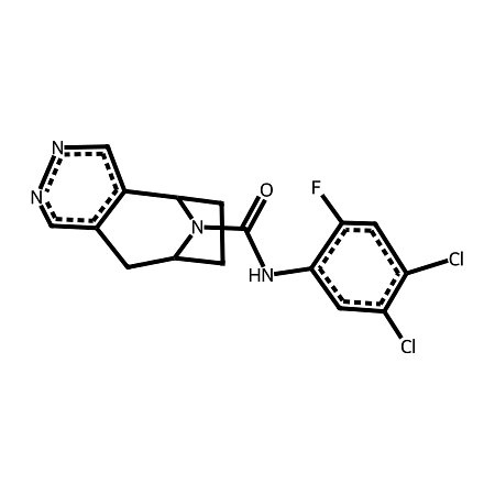 O=C(Nc1cc(Cl)c(Cl)cc1F)N1C2CCC1c1cnncc1C2